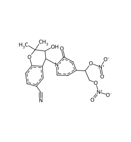 CC1(C)Oc2ccc(C#N)cc2C(n2ccc(C(CO[N+](=O)[O-])O[N+](=O)[O-])cc2=O)C1O